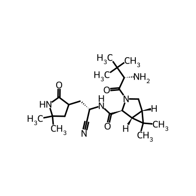 CC1(C)CC(C[C@@H](C#N)NC(=O)[C@@H]2[C@@H]3[C@H](CN2C(=O)[C@@H](N)C(C)(C)C)C3(C)C)C(=O)N1